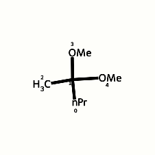 CCCC(C)(OC)OC